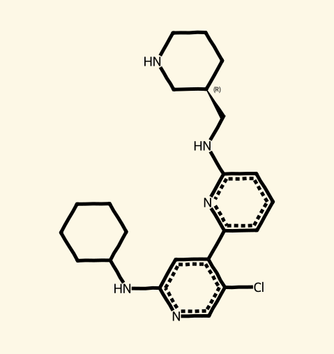 Clc1cnc(NC2CCCCC2)cc1-c1cccc(NC[C@@H]2CCCNC2)n1